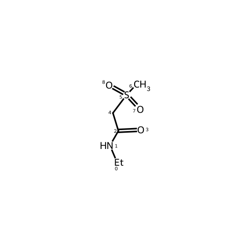 CCNC(=O)CS(C)(=O)=O